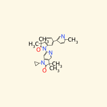 Cc1ccc(-c2ccc3c(c2)N(c2cc4c(cn2)C(C)(C)C(=O)N4C2CC2)C(=O)C3(C)C)cn1